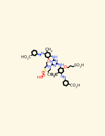 Cc1cc(Nc2nc(NCCC(=O)O)nc(Nc3cc(C)c(N=Nc4cccc(C(=O)O)c4)cc3OCCCS(=O)(=O)O)n2)c(OCCCSOOO)cc1N=Nc1cccc(C(=O)O)c1